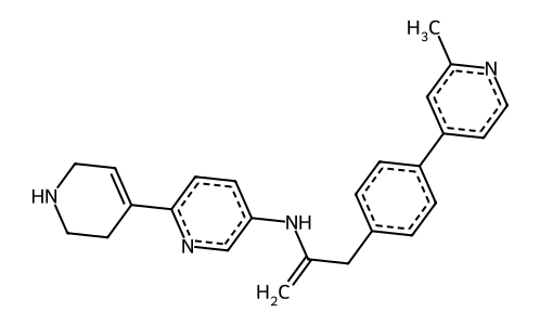 C=C(Cc1ccc(-c2ccnc(C)c2)cc1)Nc1ccc(C2=CCNCC2)nc1